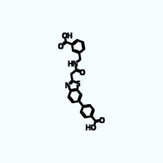 O=C(Cc1nc2ccc(-c3ccc(C(=O)O)cc3)cc2s1)NCc1cccc(C(=O)O)c1